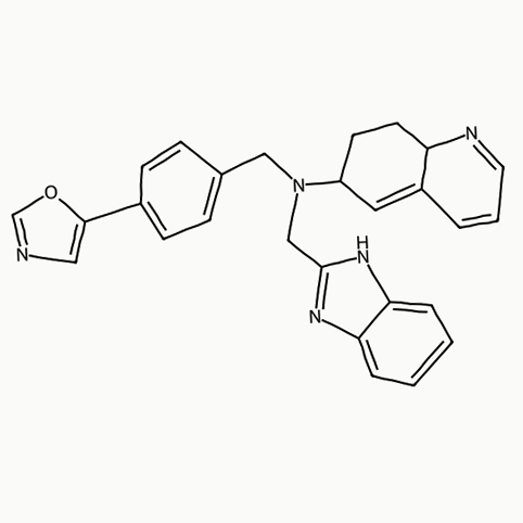 C1=CC2=CC(N(Cc3ccc(-c4cnco4)cc3)Cc3nc4ccccc4[nH]3)CCC2N=C1